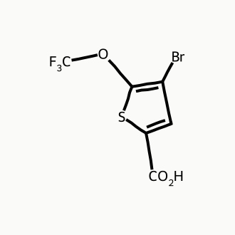 O=C(O)c1cc(Br)c(OC(F)(F)F)s1